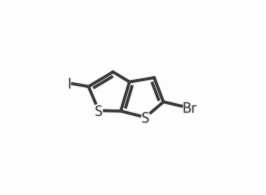 Brc1cc2cc(I)sc2s1